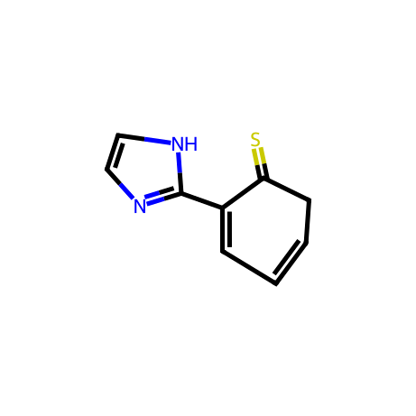 S=C1CC=CC=C1c1ncc[nH]1